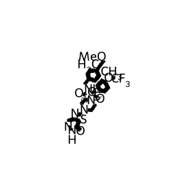 COCC(C)(C)c1ccc(CNC(=O)[C@H]2CN(c3nc4cn[nH]c(=O)c4s3)CCN2S(=O)(=O)c2ccc(OC(F)(F)F)cc2)cc1